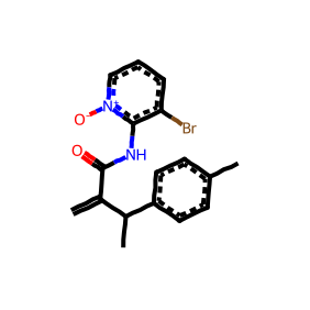 C=C(C(=O)Nc1c(Br)ccc[n+]1[O-])C(C)c1ccc(C)cc1